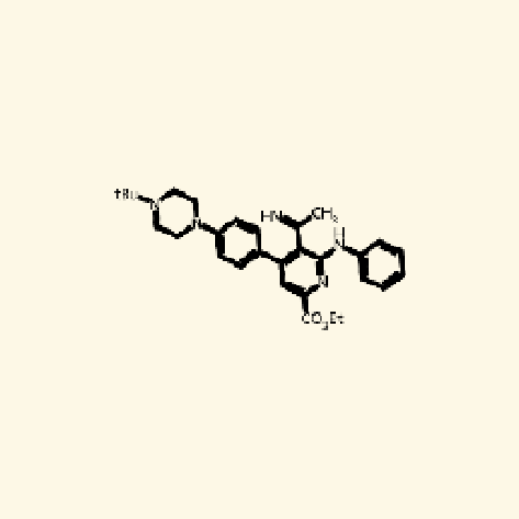 CCOC(=O)c1cc(-c2ccc(N3CCN(C(C)(C)C)CC3)cc2)c(C(C)=N)c(Nc2ccccc2)n1